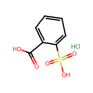 Cl.O=C(O)c1ccccc1S(=O)(=O)O